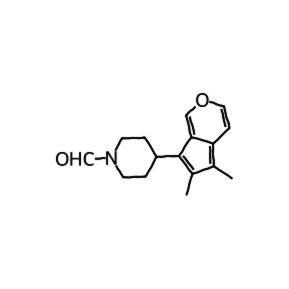 Cc1c2ccocc-2c(C2CCN(C=O)CC2)c1C